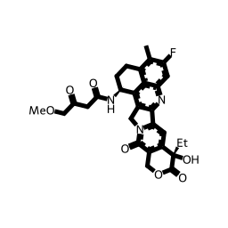 CC[C@@]1(O)C(=O)OCc2c1cc1n(c2=O)Cc2c-1nc1cc(F)c(C)c3c1c2[C@@H](NC(=O)CC(=O)COC)CC3